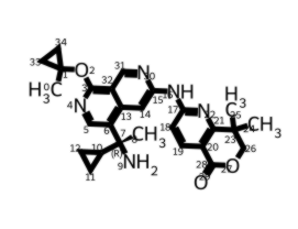 CC1(Oc2ncc([C@](C)(N)C3CC3)c3cc(Nc4ccc5c(n4)C(C)(C)COC5=O)ncc23)CC1